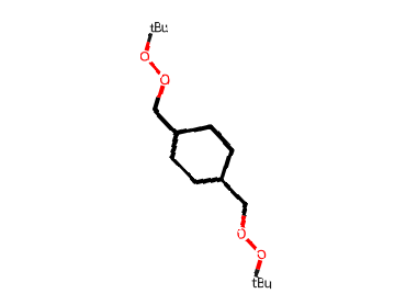 CC(C)(C)OOCC1CCC(COOC(C)(C)C)CC1